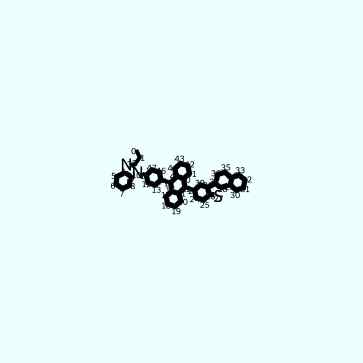 CCc1nc2ccccc2n1-c1ccc(-c2c3ccccc3c(-c3ccc4sc5c6ccccc6ccc5c4c3)c3ccccc23)cc1